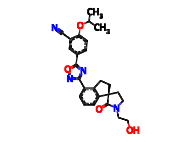 CC(C)Oc1ccc(-c2nc(-c3cccc4c3CC[C@]43CCN(CCO)C3=O)no2)cc1C#N